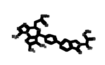 COC(=O)CC1N=C(c2ccc(-c3ccc4c(c3)CN(C(C(=O)OC(C)(C)C)C(C)C)C4=O)cc2)c2c(sc(C)c2C)-n2c(C)nnc21